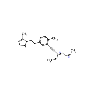 C=C/C(C#Cc1cc(CCC2N=CC=C2C)ccc1C)=C\C=C/C